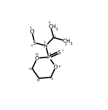 CC(C)N(SCl)P1(=S)OCCCO1